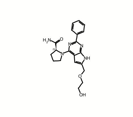 NC(=O)[C@@H]1CCCN1c1nc(-c2ccccc2)nc2[nH]c(COCCO)cc12